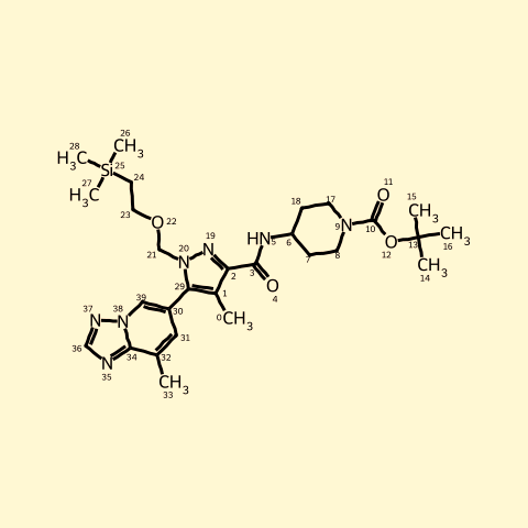 Cc1c(C(=O)NC2CCN(C(=O)OC(C)(C)C)CC2)nn(COCC[Si](C)(C)C)c1-c1cc(C)c2ncnn2c1